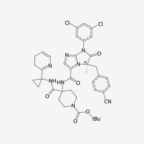 CC(C)(C)OC(=O)N1CCC(NC(=O)c2cnc3n2[C@](C)(Cc2ccc(C#N)cc2)C(=O)N3c2cc(Cl)cc(Cl)c2)(C(=O)NC2(C3=NC=CCC3)CC2)CC1